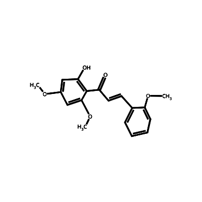 COc1cc(O)c(C(=O)/C=C/c2ccccc2OC)c(OC)c1